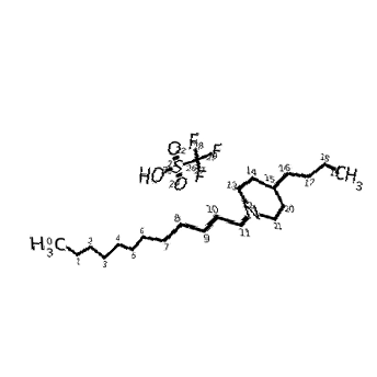 CCCCCCCCCCCCN1CCC(CCCC)CC1.O=S(=O)(O)C(F)(F)F